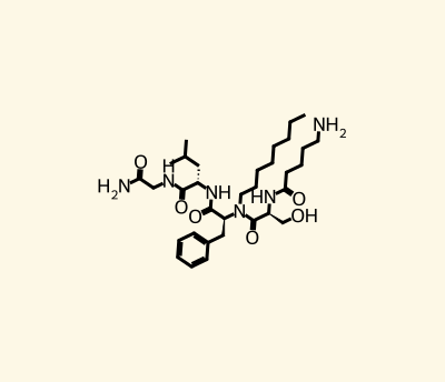 CCCCCCCCN(C(=O)[C@H](CO)NC(=O)CCCCN)[C@@H](Cc1ccccc1)C(=O)N[C@@H](CC(C)C)C(=O)NCC(N)=O